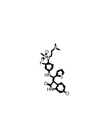 CN(C)CCN(c1ccc(N/C(=C2\C(=O)Nc3cc(Cl)ccc32)c2cccs2)cc1F)S(C)(=O)=O